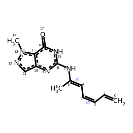 C=C/C=C\C=C(/C)Nc1nc2cnn(C)c2c(=O)[nH]1